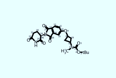 CN(C(=O)OC(C)(C)C)C1CC(Oc2ccc3c(c2)C(=O)N([C@@H]2CCC(=O)NC2=O)C3=O)C1